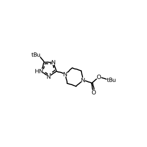 CC(C)(C)OC(=O)N1CCN(c2n[nH]c(C(C)(C)C)n2)CC1